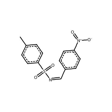 Cc1ccc(S(=O)(=O)/N=C\c2ccc([N+](=O)[O-])cc2)cc1